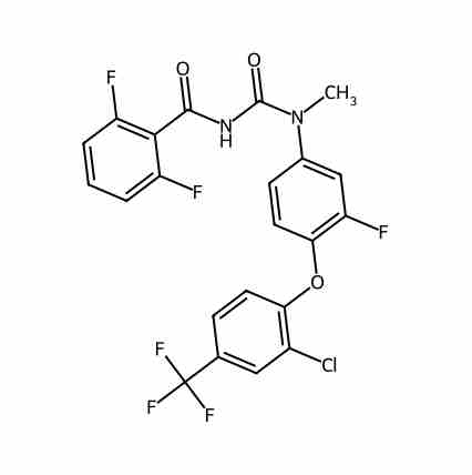 CN(C(=O)NC(=O)c1c(F)cccc1F)c1ccc(Oc2ccc(C(F)(F)F)cc2Cl)c(F)c1